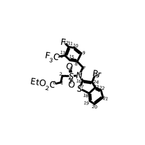 CCOC(=O)CCS(=O)(=O)N(Cc1ccc(F)c(C(F)(F)F)c1)c1sc2ccccc2c1Br